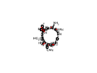 C=C1N[C@@H](CC(=O)O)C(=O)N[C@@H](Cc2cnc[nH]2)C(=O)N[C@@H](Cc2ccc(OC)cc2)C(=O)N2CCC[C@@]2(C)C(=O)N[C@H](C(N)=O)Cc2ccc(cc2)CNC(=O)C[C@H](NC(C)=O)C(=O)N[C@@H](CCCCN)C(=O)N[C@H](C)C(=O)N[C@@H](Cc2c[nH]c3ccc(F)cc23)C(=O)N[C@H]1Cc1c[nH]c2ccc(F)cc12